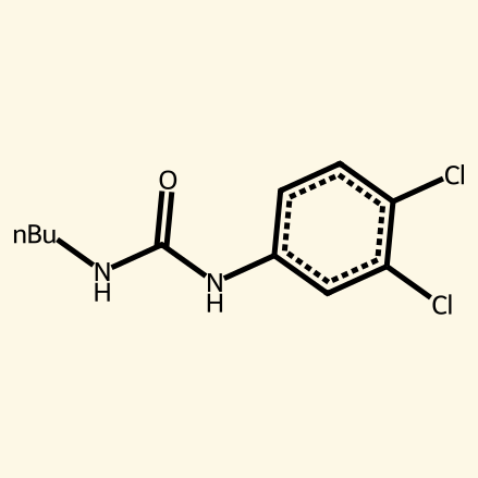 CCCCNC(=O)Nc1ccc(Cl)c(Cl)c1